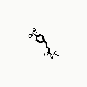 CON(C)C(=O)CCCc1ccc([N+](=O)[O-])cc1